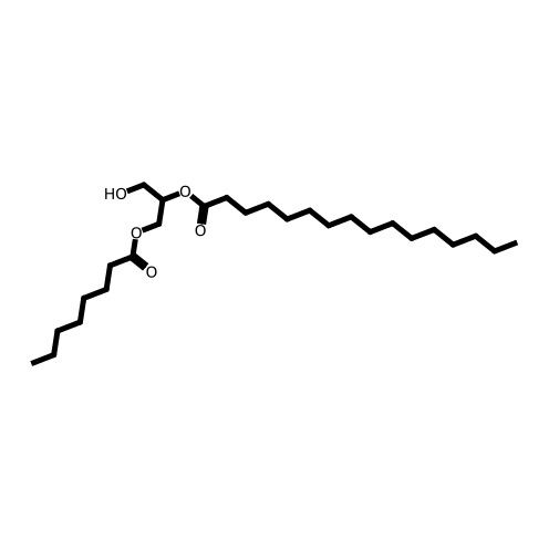 CCCCCCCCCCCCCCCC(=O)OC(CO)COC(=O)CCCCCCC